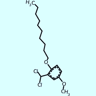 CCCCCCCCCCOc1ccc(OC)cc1C(Cl)Cl